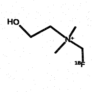 C[N+](C)(C[18F])CCO